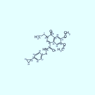 CCn1cc(C(=O)NCc2ccc(C3CC3)cc2)c2cc(OC)c(OC)cc2c1=O